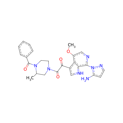 COc1cnc(-n2nccc2N)c2[nH]cc(C(=O)C(=O)N3CCN(C(=O)c4ccccc4)C(C)C3)c12